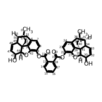 CN1CC[C@@]23c4c5ccc(OC(=O)c6ccccc6C(=O)Oc6ccc7c8c6O[C@@H]6C(O)C=CC9[C@H](C7)N(C)CC[C@]896)c4O[C@@H]2C(O)C=CC3[C@@H]1C5